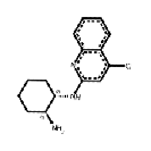 N[C@H]1CCCC[C@@H]1Nc1cc(Cl)c2ccccc2n1